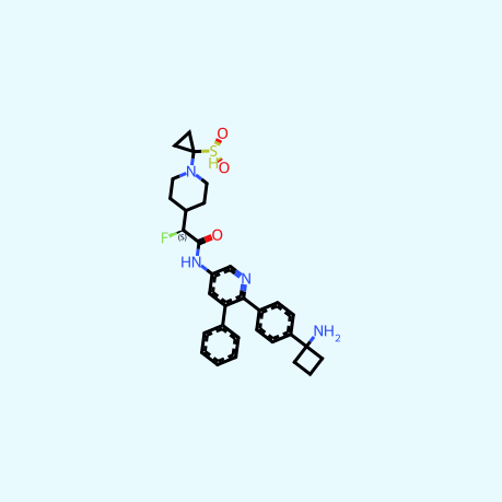 NC1(c2ccc(-c3ncc(NC(=O)[C@@H](F)C4CCN(C5([SH](=O)=O)CC5)CC4)cc3-c3ccccc3)cc2)CCC1